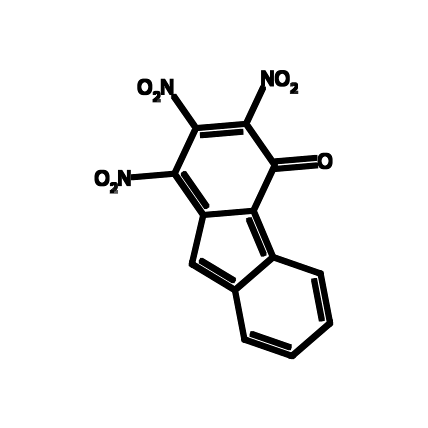 O=C1C([N+](=O)[O-])=C([N+](=O)[O-])C([N+](=O)[O-])=C2C=c3ccccc3=C12